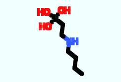 CCCCNCC[Si](O)(O)O